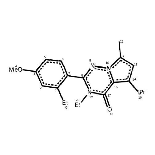 CCc1cc(OC)ccc1-c1nn2c(C)cc(C(C)C)c2c(=O)n1CC